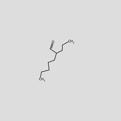 CCCCCC([C]=O)CCC